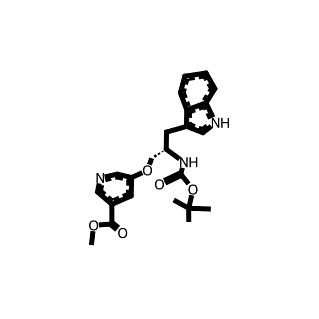 COC(=O)c1cncc(OC[C@H](Cc2c[nH]c3ccccc23)NC(=O)OC(C)(C)C)c1